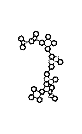 c1ccc2c(c1)Oc1cc(-c3ccc4c(c3)-c3ccccc3-c3ccccc3-c3cc(-n5c6ccccc6c6cc(-n7c8ccccc8c8ccccc87)ccc65)ccc3-4)cc3c1B2c1ccc(-c2ccc4c(c2)B2c5ccccc5Oc5cc(-c6cc7c(cc6-n6c8ccccc8n8c9ccccc9nc68)-c6ccccc6-c6ccccc6-c6ccccc6-7)cc(c52)O4)cc1O3